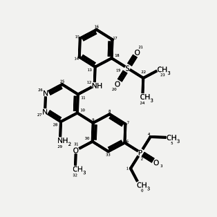 CCP(=O)(CC)c1ccc(-c2c(Nc3ccccc3S(=O)(=O)C(C)C)cnnc2N)c(OC)c1